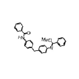 CO/C(=N\c1ccc(Cc2ccc(NC(=O)c3ccccc3)cc2)cc1)c1ccccc1